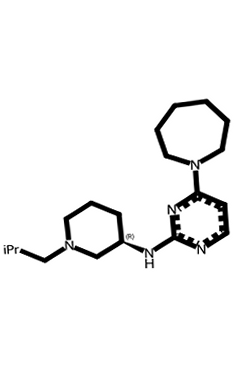 CC(C)CN1CCC[C@@H](Nc2nccc(N3CCCCCC3)n2)C1